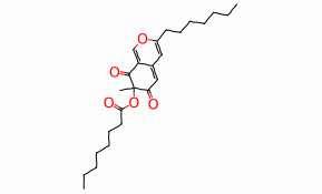 CCCCCCCC(=O)OC1(C)C(=O)C=C2C=C(CCCCCCC)OC=C2C1=O